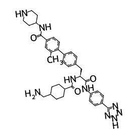 Cc1cc(C(=O)NC2CCNCC2)ccc1-c1ccc(C[C@H](NC(=O)C2CCC(CN)CC2)C(=O)Nc2ccc(-c3nn[nH]n3)cc2)cc1